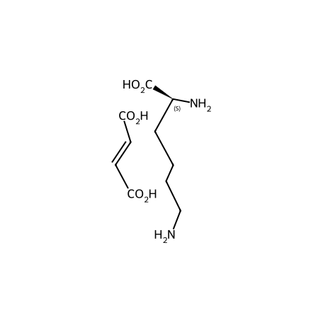 NCCCC[C@H](N)C(=O)O.O=C(O)C=CC(=O)O